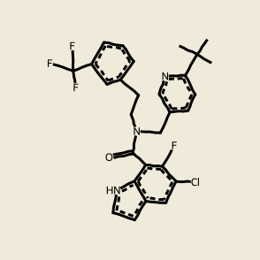 CC(C)(C)c1ccc(CN(CCc2cccc(C(F)(F)F)c2)C(=O)c2c(F)c(Cl)cc3cc[nH]c23)cn1